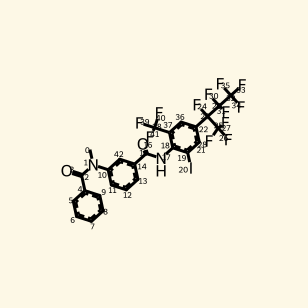 CN(C(=O)c1ccccc1)c1cccc(C(=O)Nc2c(I)cc(C(F)(C(F)(F)F)C(F)(F)C(F)(F)F)cc2C(F)(F)F)c1